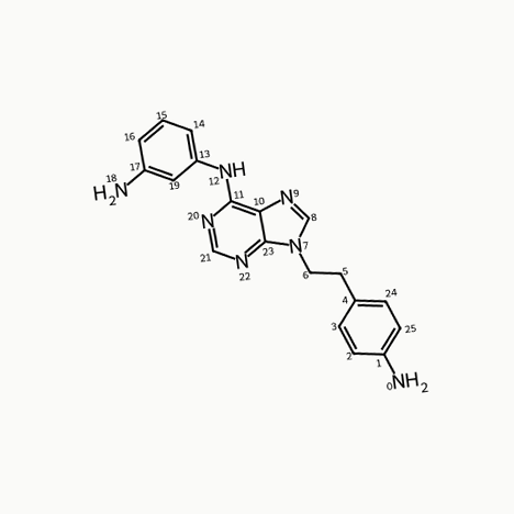 Nc1ccc(CCn2cnc3c(Nc4cccc(N)c4)ncnc32)cc1